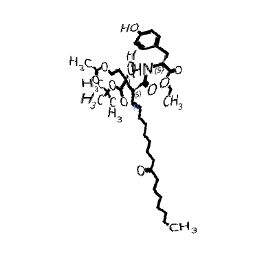 CCCCCCCC(=O)CCCCCC/C=C/[C@H](C(=O)N[C@@H](Cc1ccc(O)cc1)C(=O)OCC)[C@@](O)(CCOC(C)=O)C(=O)OC(C)(C)C